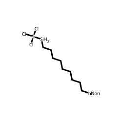 CCCCCCCCCCCCCCCCCC[SiH2][Si](Cl)(Cl)Cl